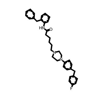 O=C(CCCCCN1CCN(c2ccc(Cc3ccc(F)cc3)cc2)CC1)Nc1ccccc1Cc1ccccc1